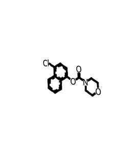 O=C(Oc1ccc(Cl)c2ccccc12)N1CCOCC1